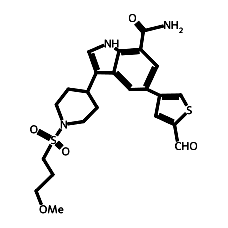 COCCCS(=O)(=O)N1CCC(c2c[nH]c3c(C(N)=O)cc(-c4csc(C=O)c4)cc23)CC1